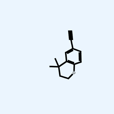 [C]#Cc1ccc2c(c1)C(C)(C)CCO2